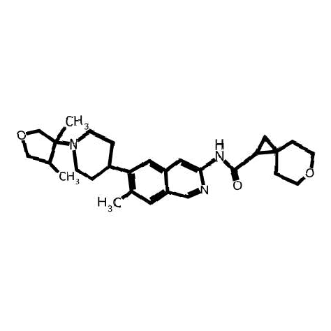 Cc1cc2cnc(NC(=O)C3CC34CCOCC4)cc2cc1C1CCN(C2(C)COCC2C)CC1